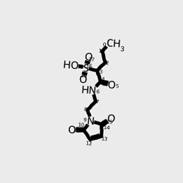 CCCC(C(=O)NCCN1C(=O)C=CC1=O)S(=O)(=O)O